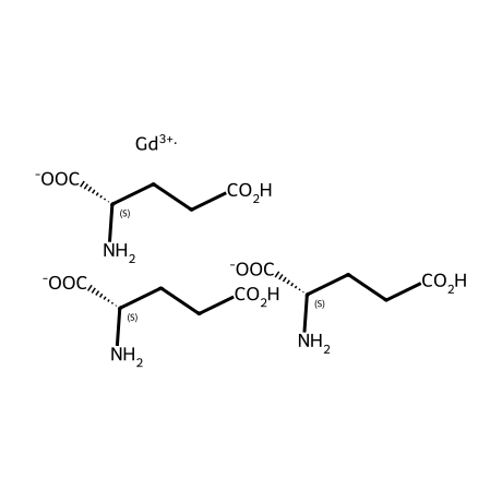 N[C@@H](CCC(=O)O)C(=O)[O-].N[C@@H](CCC(=O)O)C(=O)[O-].N[C@@H](CCC(=O)O)C(=O)[O-].[Gd+3]